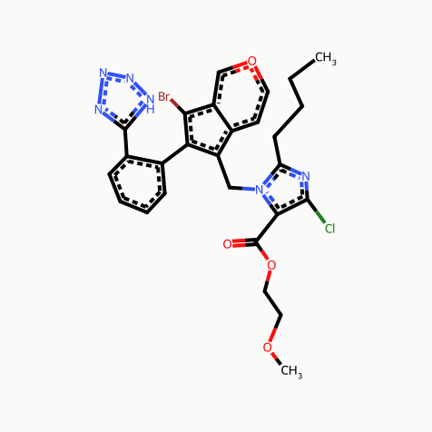 CCCCc1nc(Cl)c(C(=O)OCCOC)n1Cc1c2ccocc-2c(Br)c1-c1ccccc1-c1nnn[nH]1